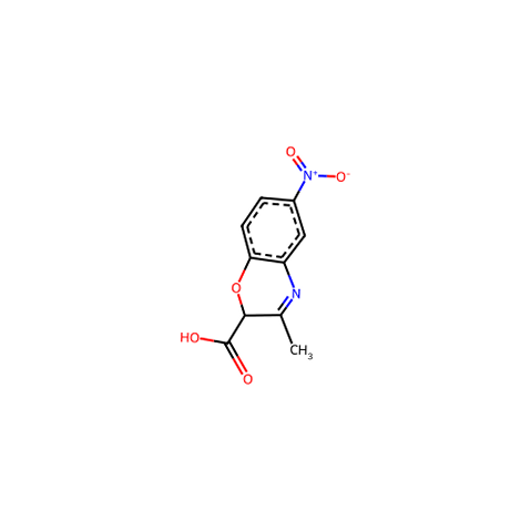 CC1=Nc2cc([N+](=O)[O-])ccc2OC1C(=O)O